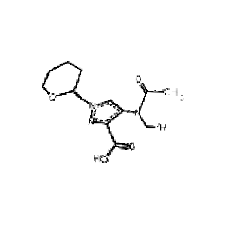 [2H]CN(C(C)=O)c1cn(C2CCCCO2)nc1C(=O)O